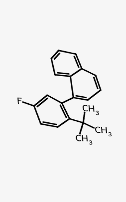 CC(C)(C)c1ccc(F)cc1-c1cccc2ccccc12